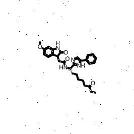 CCC(=O)CCCCC[C@H](NC(=O)CC1C(=O)Nc2cc(OC)ccc21)c1ncc(-c2ccccc2)[nH]1